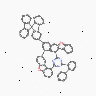 c1ccc(-c2ccccc2-c2nc(-c3cccc4oc5ccccc5c34)nc(-c3cccc4oc5ccc(-c6cccc(-c7ccc8c(c7)-c7ccccc7C87c8ccccc8-c8ccccc87)c6)cc5c34)n2)cc1